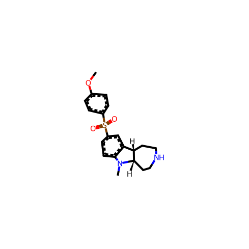 COc1ccc(S(=O)(=O)c2ccc3c(c2)[C@@H]2CCNCC[C@@H]2N3C)cc1